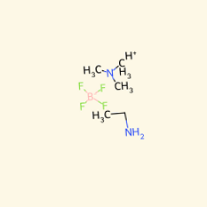 CCN.CN(C)C.F[B-](F)(F)F.[H+]